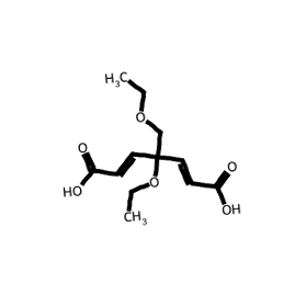 CCOCC(C=CC(=O)O)(C=CC(=O)O)OCC